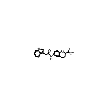 COC(=O)C1CCc2cc(NC(=O)Cc3c[nH]c4ccccc34)ccc2O1